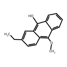 CCc1ccc2c(OC)c3ccccc3c(O)c2c1